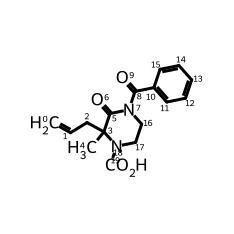 C=CCC1(C)C(=O)N(C(=O)c2ccccc2)CCN1C(=O)O